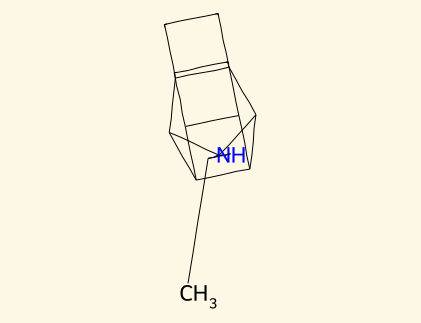 CC1CCC2(N1)C1C3CCC3C2C2C3CCC3C21